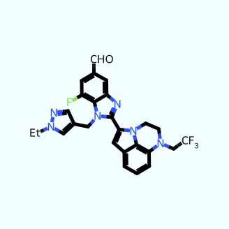 CCn1cc(Cn2c(-c3cc4cccc5c4n3CCN5CC(F)(F)F)nc3cc(C=O)cc(F)c32)cn1